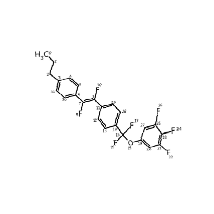 CCCc1ccc(/C(F)=C(\F)c2ccc(C(F)(F)Oc3cc(F)c(F)c(F)c3)cc2)cc1